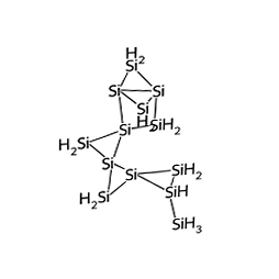 [SiH3][SiH]1[SiH2][Si]12[SiH2][Si]21[SiH2][Si]12[SiH2][Si]13[SiH2][Si]12[SiH2]3